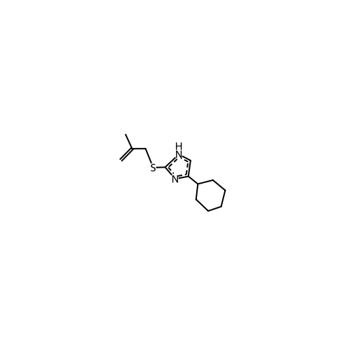 C=C(C)CSc1nc(C2CCCCC2)c[nH]1